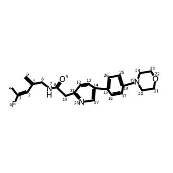 C=C(/C=C(\C)F)CNC(=O)Cc1ccc(-c2ccc(N3CCOCC3)cc2)cn1